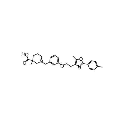 Cc1ccc(-c2nc(CCOc3cccc(CN4CCCC(C)(C(=O)O)C4)c3)c(C)o2)cc1